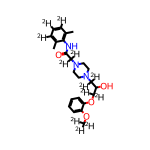 [2H]c1c([2H])c(C)c(NC(=O)C([2H])([2H])N2CCN(C([2H])([2H])C(O)C([2H])([2H])Oc3ccccc3OC([2H])([2H])[2H])CC2)c(C)c1[2H]